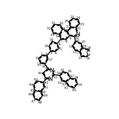 c1cc(-c2ccc(-c3cc4c(-c5ccc6ccccc6c5)nc5ccccc5c4c4ccccc34)cc2)cc(-c2cc(-c3ccc4ccccc4c3)nc(-c3ccc4ccccc4c3)n2)c1